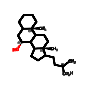 C[C@H](CCC1CCC2C3C(CC[C@]12C)[C@@]1(C)CCCCC1C[C@H]3O)C(=O)O